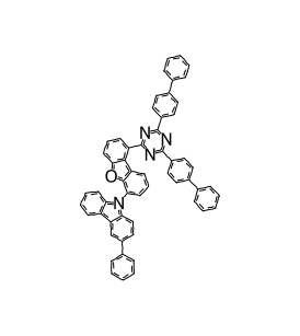 c1ccc(-c2ccc(-c3nc(-c4ccc(-c5ccccc5)cc4)nc(-c4cccc5oc6c(-n7c8ccccc8c8cc(-c9ccccc9)ccc87)cccc6c45)n3)cc2)cc1